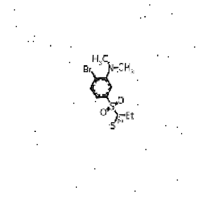 CC[C@@H]([S])S(=O)(=O)c1ccc(Br)c(N(C)C)c1